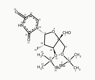 CC(C)(C)[Si](C)(C)OC[C@@]1(C=O)O[C@@H](n2ccc(=O)[nH]c2=O)[C@@H](F)[C@@H]1O[Si](C)(C)C(C)(C)C